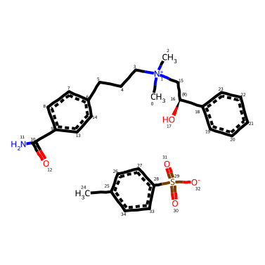 C[N+](C)(CCCc1ccc(C(N)=O)cc1)C[C@H](O)c1ccccc1.Cc1ccc(S(=O)(=O)[O-])cc1